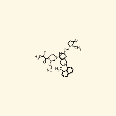 C=C(F)C(=O)N1CCN(c2nc(OC[C@@H]3CCC(=O)N3C)nc3c2CCN(c2cccc4cccc(C)c24)C3)CC1OCC#N